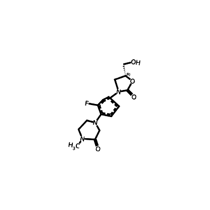 CN1CCN(c2ccc(N3C[C@H](CO)OC3=O)cc2F)CC1=O